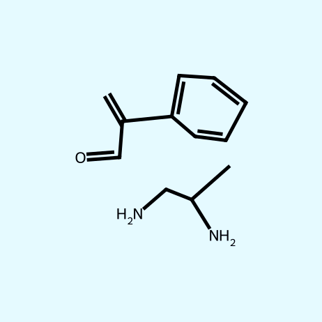 C=C(C=O)c1ccccc1.CC(N)CN